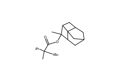 CC(C)C(C)(C(=O)OC1(C)C2CC3CC(C2)CC1C3)C(C)(C)C